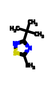 Bc1nc(C(C)(C)C)ns1